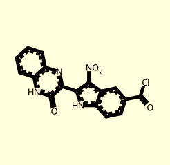 O=C(Cl)c1ccc2[nH]c(-c3nc4ccccc4[nH]c3=O)c([N+](=O)[O-])c2c1